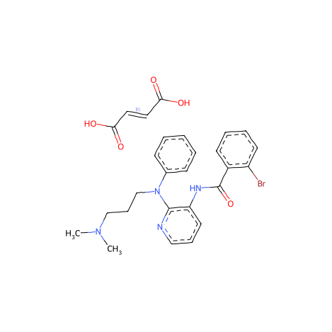 CN(C)CCCN(c1ccccc1)c1ncccc1NC(=O)c1ccccc1Br.O=C(O)/C=C/C(=O)O